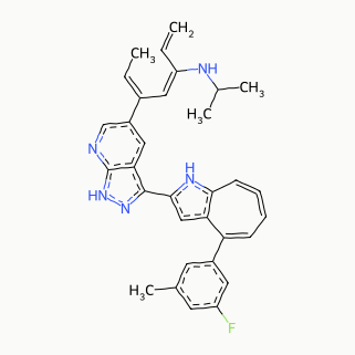 C=C/C(=C\C(=C/C)c1cnc2[nH]nc(-c3cc4c([nH]3)C=C=CC=C4c3cc(C)cc(F)c3)c2c1)NC(C)C